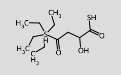 CC[SH](CC)(CC)(CC)C(=O)CC(O)C(=O)S